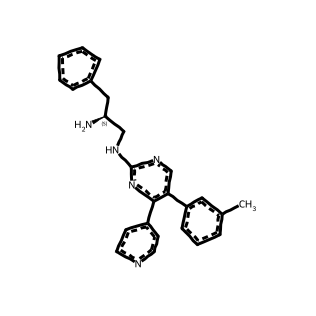 Cc1cccc(-c2cnc(NC[C@@H](N)Cc3ccccc3)nc2-c2ccncc2)c1